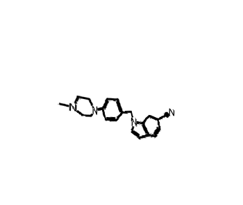 CN1CCN(c2ccc(Cn3ccc4ccc(C#N)cc43)cc2)CC1